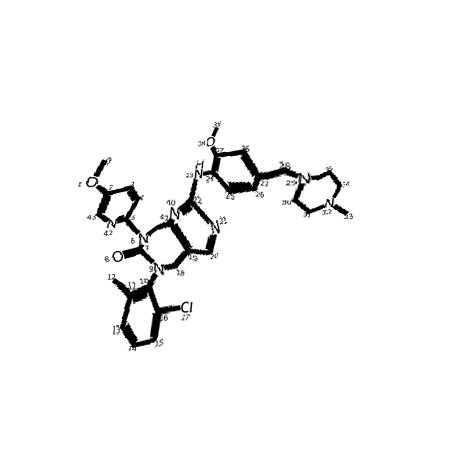 COc1ccc(N2C(=O)N(c3c(C)cccc3Cl)Cc3cnc(Nc4ccc(CN5CCN(C)CC5)cc4OC)nc32)nc1